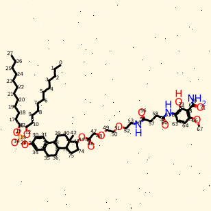 CCCCCCCCCCCCOP(=O)(OCCCCCCCCCCCC)Oc1ccc2c(c1)CCC1C2CCC2(C)C(OC(=O)COCCOCCNC(=O)CCC(=O)Nc3ccc(OC)c(C(N)=O)c3O)CCC12